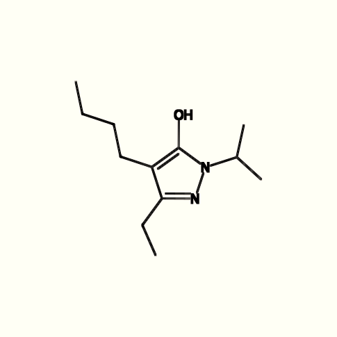 CCCCc1c(CC)nn(C(C)C)c1O